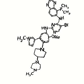 COc1cc(N2CCC(N3CCN(C)CC3)CC2)c(-c2ccn(C)c2)cc1Nc1ncc(Br)c(Nc2ccc3nccnc3c2P(C)C)n1